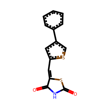 O=C1NC(=O)/C(=C/c2cc(-c3ccccc3)cs2)S1